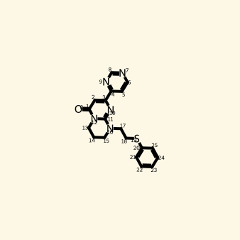 O=c1cc(-c2ccncn2)nc2n1CCCN2CCSc1ccccc1